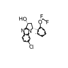 O[C@@H]1C[C@H](c2[c]cccc2OC(F)F)n2c1nc1ccc(Cl)cc12